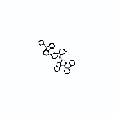 c1ccc(-c2ccccc2-c2ccc(-n3c4ccccc4c4cc(-c5cccc6c5c5ccccc5n6-c5ccccc5)ccc43)c3sc4ccccc4c23)cc1